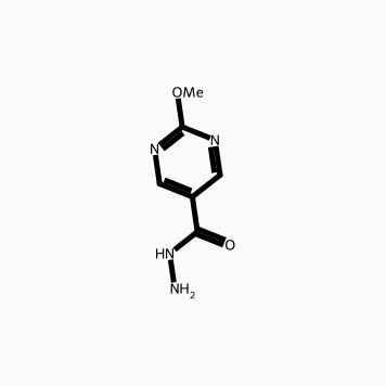 COc1ncc(C(=O)NN)cn1